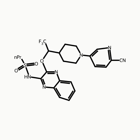 CCCS(=O)(=O)Nc1nc2ccccc2nc1OC(C1CCN(c2ccc(C#N)nc2)CC1)C(F)(F)F